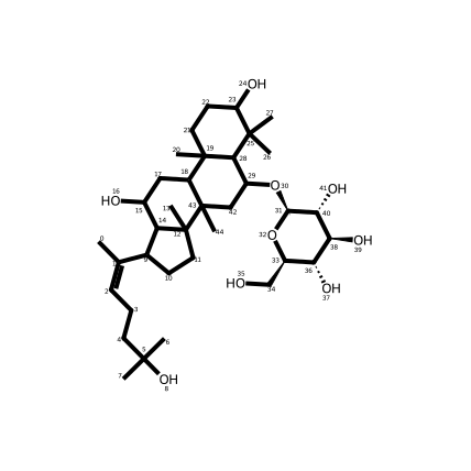 C/C(=C/CCC(C)(C)O)C1CCC2(C)C1C(O)CC1C3(C)CCC(O)C(C)(C)C3C(O[C@@H]3O[C@H](CO)[C@@H](O)[C@H](O)[C@H]3O)CC12C